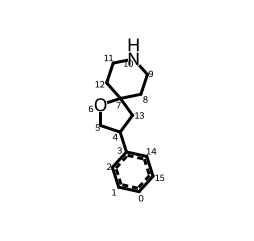 c1ccc(C2COC3(CCNCC3)C2)cc1